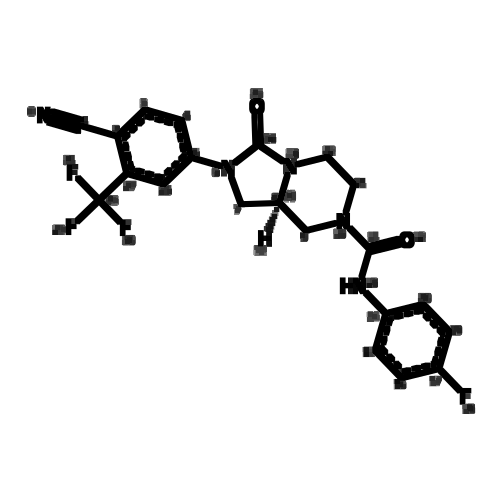 N#Cc1ccc(N2C[C@@H]3CN(C(=O)Nc4ccc(F)cc4)CCN3C2=O)cc1C(F)(F)F